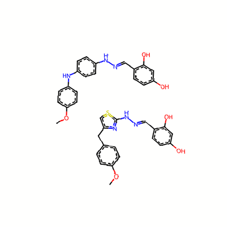 COc1ccc(Cc2csc(NN=Cc3ccc(O)cc3O)n2)cc1.COc1ccc(Nc2ccc(NN=Cc3ccc(O)cc3O)cc2)cc1